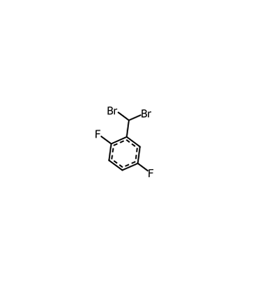 Fc1ccc(F)c(C(Br)Br)c1